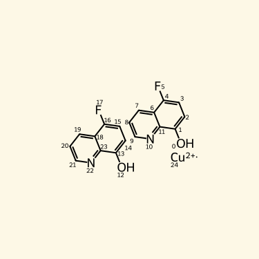 Oc1ccc(F)c2cccnc12.Oc1ccc(F)c2cccnc12.[Cu+2]